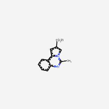 CCOC(=O)c1cc2c3ccccc3nc(C)n2c1